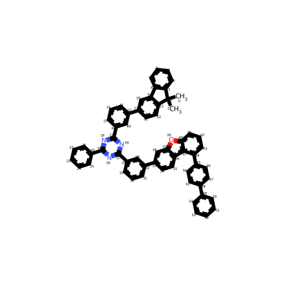 CC1(C)c2ccccc2-c2cc(-c3cccc(-c4nc(-c5ccccc5)nc(-c5cccc(-c6ccc7c(c6)oc6cccc(-c8ccc(-c9ccccc9)cc8)c67)c5)n4)c3)ccc21